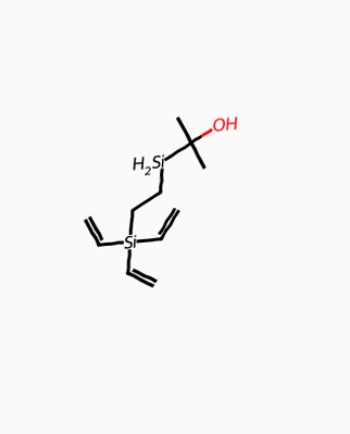 C=C[Si](C=C)(C=C)CC[SiH2]C(C)(C)O